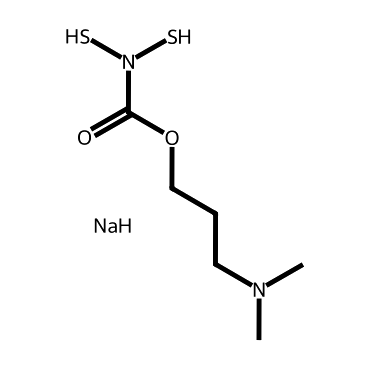 CN(C)CCCOC(=O)N(S)S.[NaH]